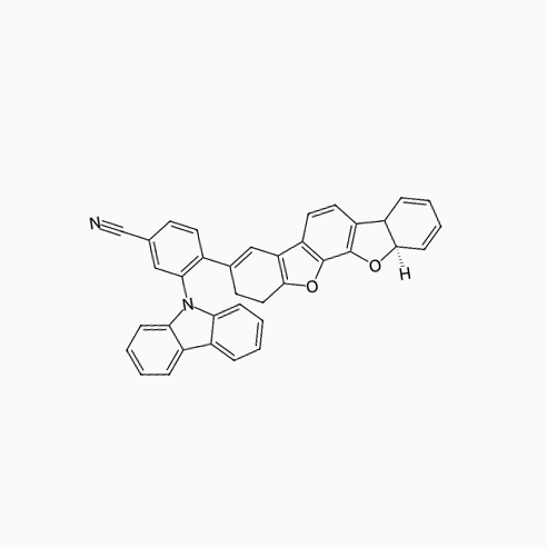 N#Cc1ccc(C2=Cc3c(oc4c5c(ccc34)C3C=CC=C[C@H]3O5)CC2)c(-n2c3ccccc3c3ccccc32)c1